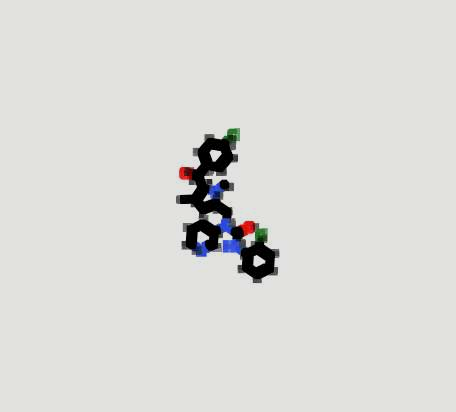 Cc1cc(CN(C(=O)Nc2ccccc2Cl)c2cccnc2)n(C)c1C(=O)c1ccc(Cl)cc1